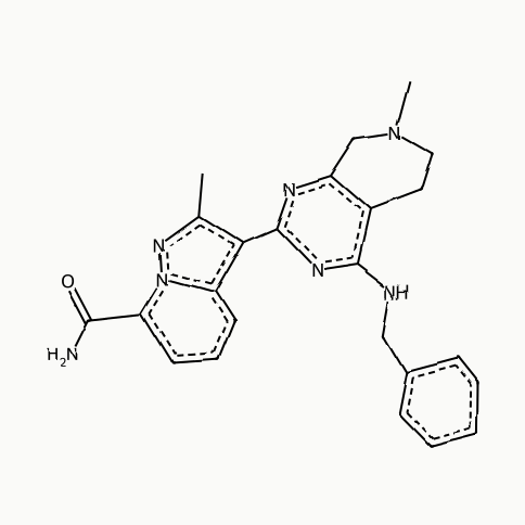 Cc1nn2c(C(N)=O)cccc2c1-c1nc2c(c(NCc3ccccc3)n1)CCN(C)C2